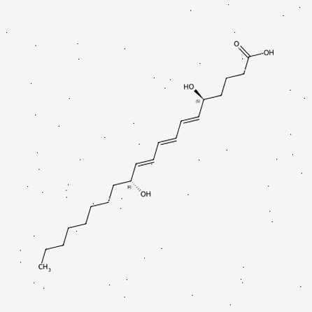 CCCCCCCC[C@@H](O)C=CC=CC=C[C@@H](O)CCCC(=O)O